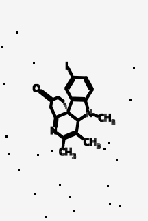 CC1=C(C)C2N(C)c3ccc(I)cc3[C@@]23CCC(=O)CC3=N1